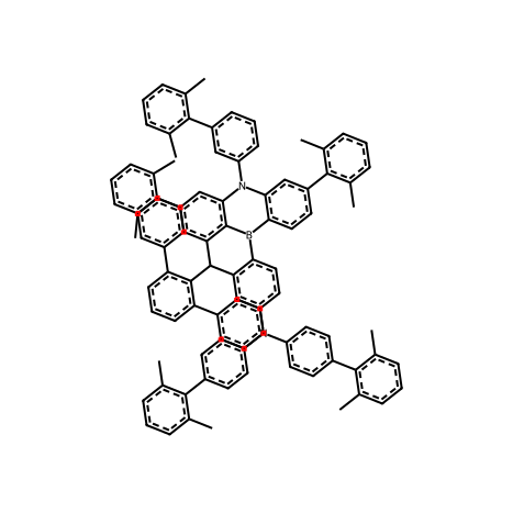 Cc1cccc(C)c1-c1ccc(N(c2ccc(-c3c(C)cccc3C)cc2)c2ccc3c(c2)C(c2c(-c4ccccc4)cccc2-c2ccccc2)c2cc(-c4c(C)cccc4C)cc4c2B3c2ccc(-c3c(C)cccc3C)cc2N4c2cccc(-c3c(C)cccc3C)c2)cc1